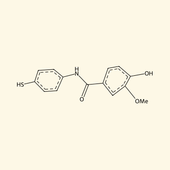 COc1cc(C(=O)Nc2ccc(S)cc2)ccc1O